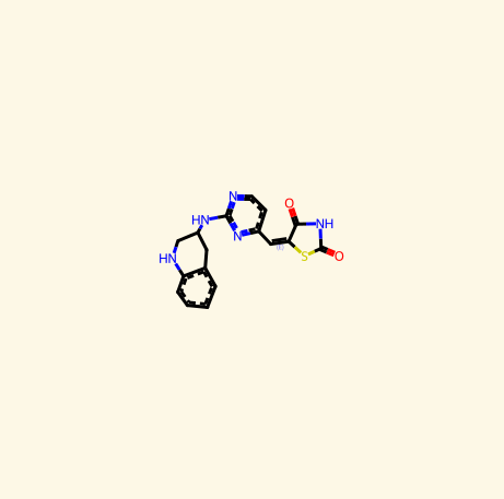 O=C1NC(=O)/C(=C\c2ccnc(NC3CNc4ccccc4C3)n2)S1